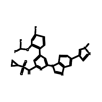 Cn1cc(-c2ccc3c(c2)ncn3-c2cc(-c3ccc(F)cc3OC(F)F)cc(NS(=O)(=O)C3CC3)n2)cn1